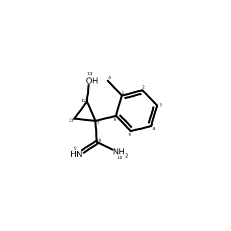 Cc1ccccc1C1(C(=N)N)CC1O